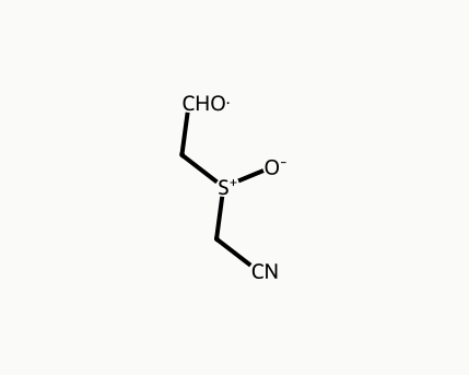 N#CC[S+]([O-])C[C]=O